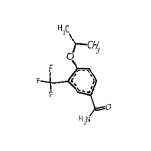 CC(C)Oc1ccc(C(N)=O)cc1C(F)(F)F